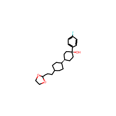 O[C@]1(c2ccc(F)cc2)CC[C@H](C2CCC(CCC3OCCO3)CC2)CC1